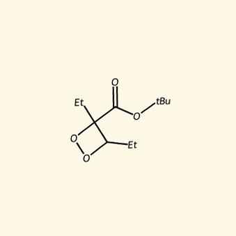 CCC1OOC1(CC)C(=O)OC(C)(C)C